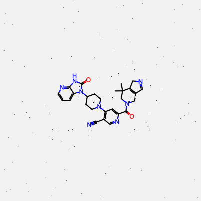 CC1(C)CN(C(=O)c2cc(N3CCC(n4c(=O)[nH]c5ncccc54)CC3)c(C#N)cn2)CC2=C1CN=C2